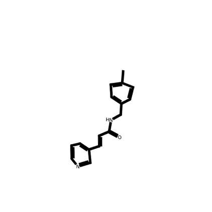 Cc1ccc(CNC(=O)/C=C/c2cccnc2)cc1